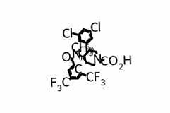 CN(C(=O)c1cc(C(F)(F)F)cc(C(F)(F)F)c1)[C@@H]1CCN(C(=O)O)C[C@H]1c1cc(Cl)cc(Cl)c1